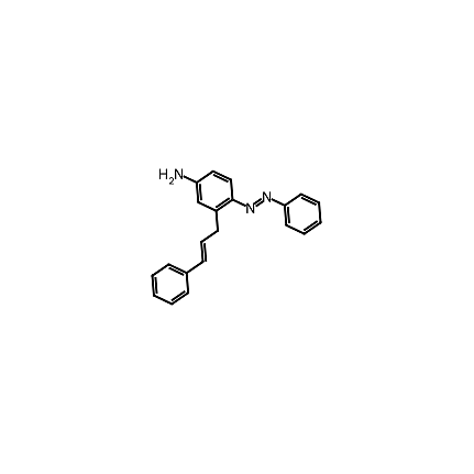 Nc1ccc(N=Nc2ccccc2)c(CC=Cc2ccccc2)c1